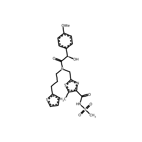 COc1ccc([C@@H](O)C(=O)N(CCCc2cccs2)Cc2nc(C(=O)NS(C)(=O)=O)c(C)s2)cc1